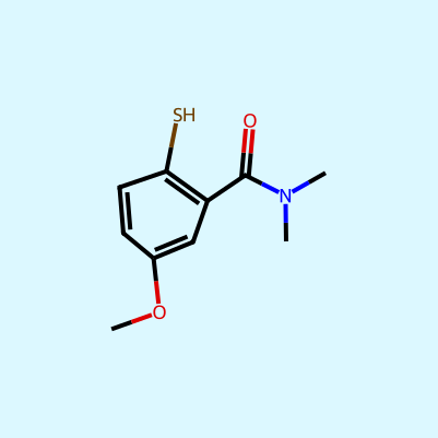 COc1ccc(S)c(C(=O)N(C)C)c1